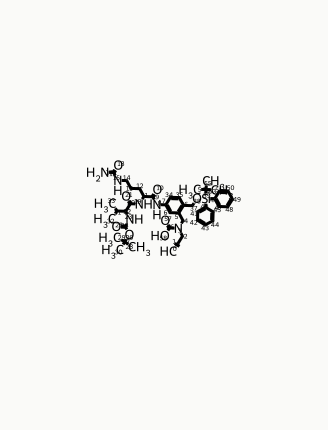 C#CCN(Cc1cc(NC(=O)C(CCCNC(N)=O)NC(=O)C(NC(=O)OC(C)(C)C)C(C)C)ccc1CO[Si](c1ccccc1)(c1ccccc1)C(C)(C)C)C(=O)O